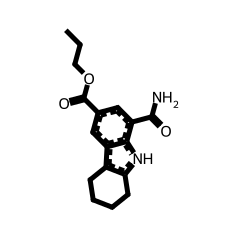 CCCOC(=O)c1cc(C(N)=O)c2[nH]c3c(c2c1)CCCC3